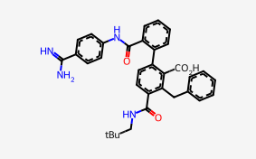 CC(C)(C)CNC(=O)c1ccc(-c2ccccc2C(=O)Nc2ccc(C(=N)N)cc2)c(C(=O)O)c1Cc1ccccc1